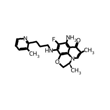 Cc1cccnc1CCCNc1c(F)c(N)c2c(=O)c(C)cn3c2c1OC[C@@H]3C